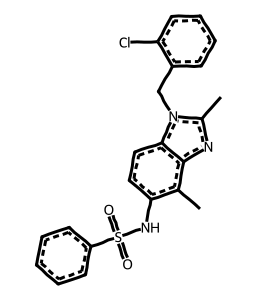 Cc1c(NS(=O)(=O)c2ccccc2)ccc2c1nc(C)n2Cc1ccccc1Cl